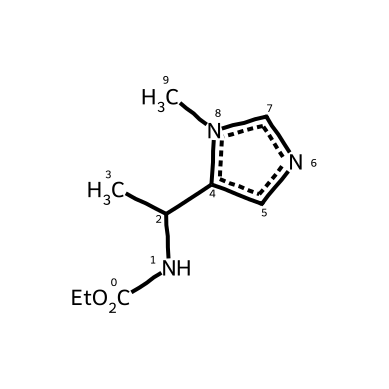 CCOC(=O)NC(C)c1cncn1C